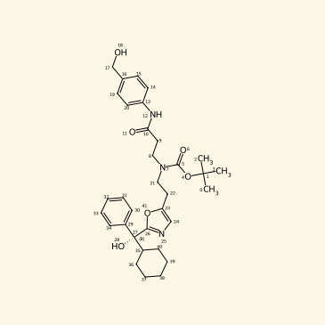 CC(C)(C)OC(=O)N(CCC(=O)Nc1ccc(CO)cc1)CCc1cnc([C@](O)(c2ccccc2)C2CCCCC2)o1